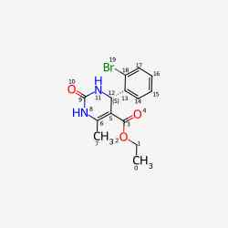 CCOC(=O)C1=C(C)NC(=O)N[C@@H]1c1ccccc1Br